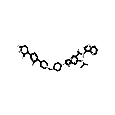 CC(C)Oc1cc2nc([C@H]3CC[C@H](CN4CCC(c5ccc(C6CCC(=O)NC6=O)cc5F)CC4)CC3)cn2cc1C(=O)Nc1cnn2cccnc12